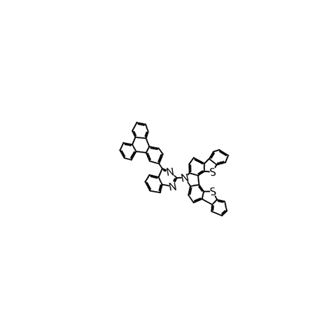 c1ccc2c(-c3ccc4c5ccccc5c5ccccc5c4c3)nc(-n3c4ccc5c6ccccc6sc5c4c4c5sc6ccccc6c5ccc43)nc2c1